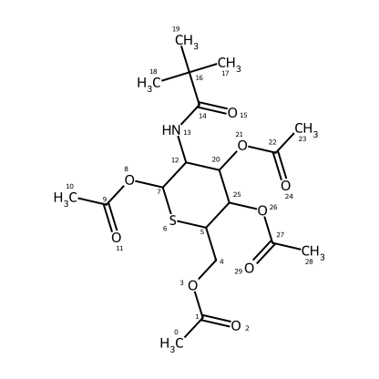 CC(=O)OCC1SC(OC(C)=O)C(NC(=O)C(C)(C)C)C(OC(C)=O)C1OC(C)=O